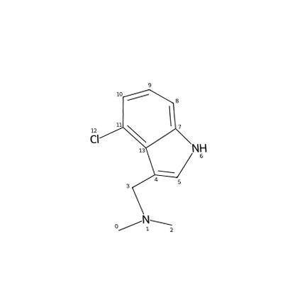 CN(C)Cc1c[nH]c2cccc(Cl)c12